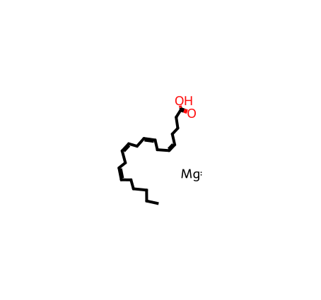 CCCCC/C=C\C/C=C\C/C=C\C/C=C\CCCC(=O)O.[Mg]